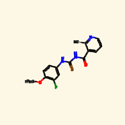 CCCCCOc1ccc(NC(=S)NC(=O)c2cccnc2C#N)cc1F